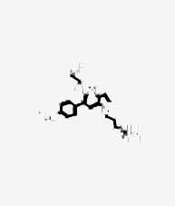 CCCNCCCn1ccc2nc(OCCC(F)(F)F)c(-c3ccc(C#N)cc3)cc21